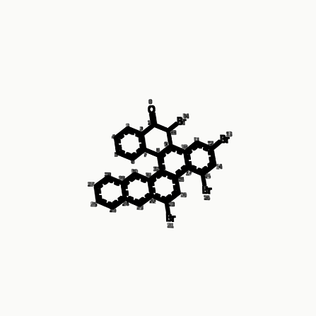 O=C1c2ccccc2-c2c(c3cc(Br)cc(Br)c3c3cc(Br)c4cc5ccccc5cc4c23)C1Br